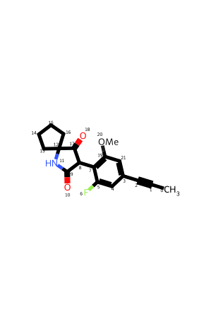 CC#Cc1cc(F)c(C2C(=O)NC3(CCCC3)C2=O)c(OC)c1